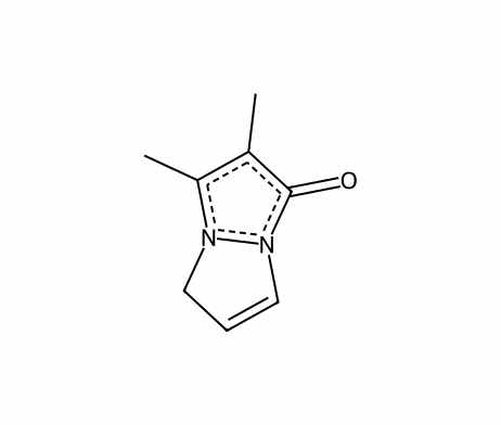 Cc1c(C)n2n(c1=O)C=CC2